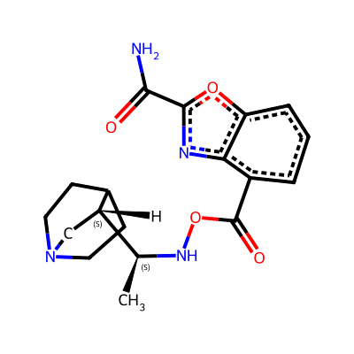 C[C@H](NOC(=O)c1cccc2oc(C(N)=O)nc12)[C@@H]1CN2CCC1CC2